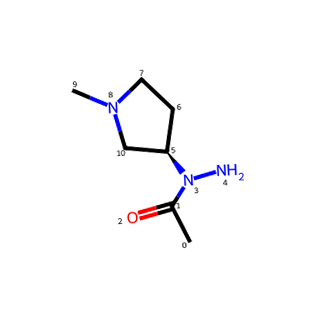 CC(=O)N(N)[C@@H]1CCN(C)C1